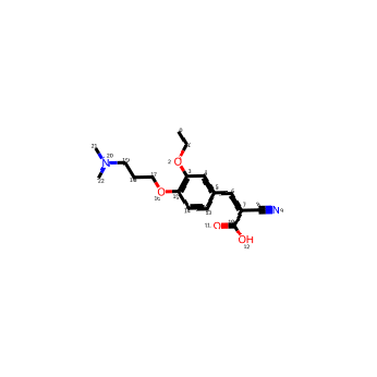 CCOc1cc(/C=C(/C#N)C(=O)O)ccc1OCCCN(C)C